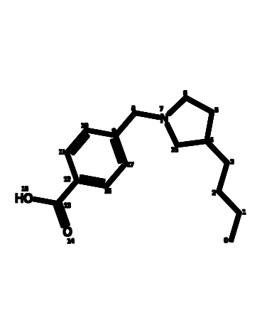 CCCCC1CCN(Cc2ccc(C(=O)O)cc2)C1